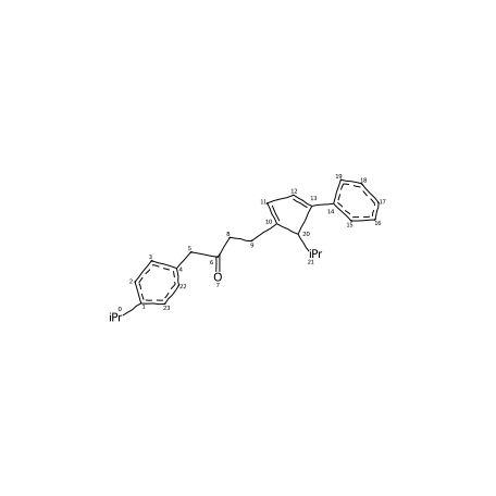 CC(C)c1ccc(CC(=O)CCC2=CC=C(c3ccccc3)C2C(C)C)cc1